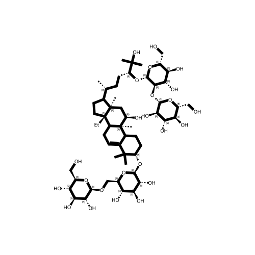 CC[C@@]12CCC([C@H](C)CC[C@@H](O[C@@H]3O[C@H](CO)[C@@H](O)[C@H](O)[C@H]3O[C@@H]3O[C@H](CO)[C@@H](O)[C@H](O)[C@H]3O)C(C)(C)O)[C@@]1(C)C[C@@H](O)[C@@]1(C)C3CC[C@H](O[C@@H]4O[C@H](CO[C@@H]5O[C@H](CO)[C@@H](O)[C@H](O)[C@H]5O)[C@@H](O)[C@H](O)[C@H]4O)C(C)(C)C3=CCC12